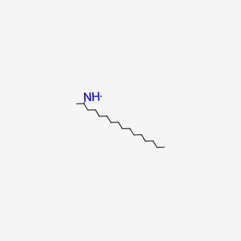 CCCCCCCCCCCCCCC(C)[NH]